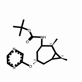 C[C@@H]1C(NC(=O)OC(C)(C)C)C[C@@H](Oc2cnccn2)CC2C1[C@H]2C